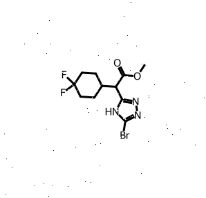 COC(=O)C(c1nnc(Br)[nH]1)C1CCC(F)(F)CC1